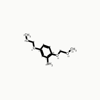 Bc1cc(OCOC)ccc1OCOC